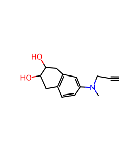 C#CCN(C)c1ccc2c(c1)CC(O)C(O)C2